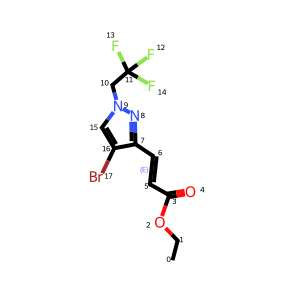 CCOC(=O)/C=C/c1nn(CC(F)(F)F)cc1Br